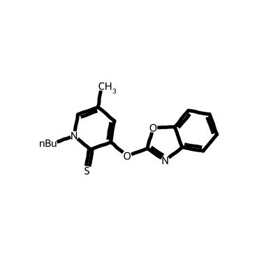 CCCCn1cc(C)cc(Oc2nc3ccccc3o2)c1=S